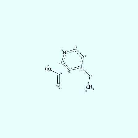 CCc1ccncc1.O=CO